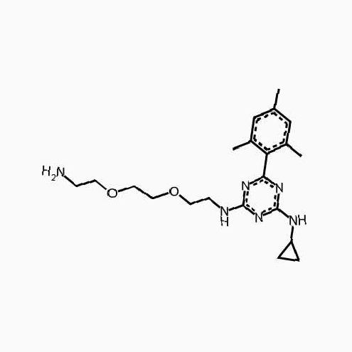 Cc1cc(C)c(-c2nc(NCCOCCOCCN)nc(NC3CC3)n2)c(C)c1